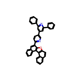 c1ccc(-c2cc(-c3ccc(-c4cc5ccccc5c5c4oc4ccc6ccccc6c45)nc3)cc(-c3ccccc3)n2)cc1